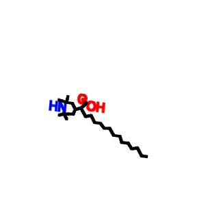 CCCCCCCCCCCCCCC(C(=O)O)C1CC(C)(C)NC(C)(C)C1